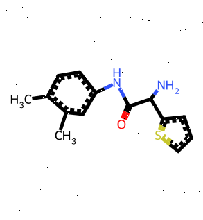 Cc1ccc(NC(=O)C(N)c2cccs2)cc1C